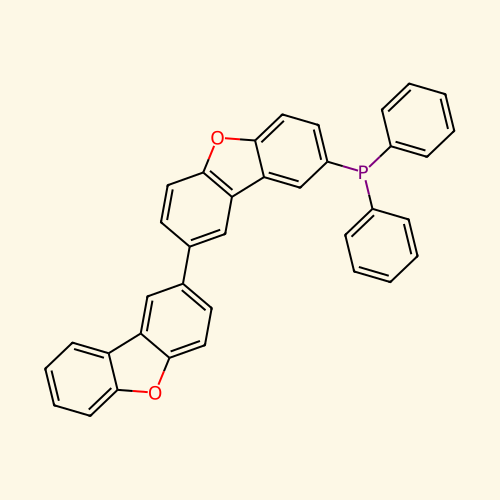 c1ccc(P(c2ccccc2)c2ccc3oc4ccc(-c5ccc6oc7ccccc7c6c5)cc4c3c2)cc1